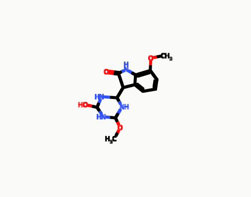 COc1cccc2c1NC(=O)C2C1NC(O)NC(OC)N1